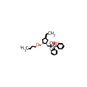 C/C=C1/C[C@@H](COCCCC)[C@H](CC(C)(C)[Si](O)(c2ccccc2)c2ccccc2)C1